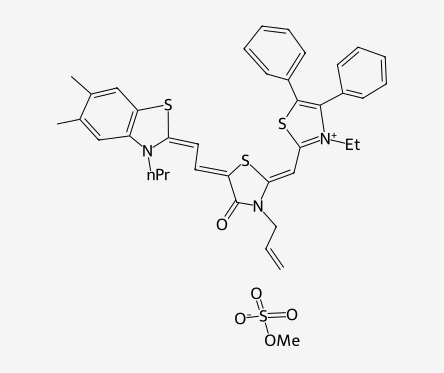 C=CCn1c(=Cc2sc(-c3ccccc3)c(-c3ccccc3)[n+]2CC)sc(=CC=C2Sc3cc(C)c(C)cc3N2CCC)c1=O.COS(=O)(=O)[O-]